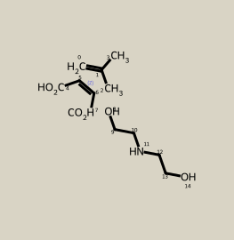 C=C(C)C.O=C(O)/C=C\C(=O)O.OCCNCCO